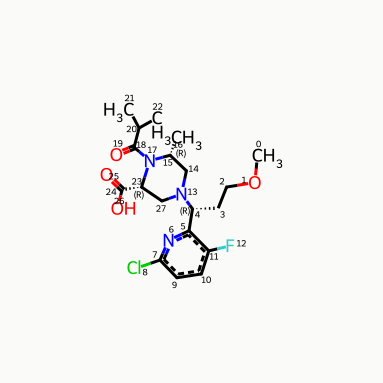 COCC[C@H](c1nc(Cl)ccc1F)N1C[C@@H](C)N(C(=O)C(C)C)[C@@H](C(=O)O)C1